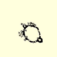 CC[C@H](C)[C@@H]1NC(=O)C(CC(C)C)NC(=O)C(C)(C)NC(=O)CCSCc2cccc(n2)CSCCNC1=O